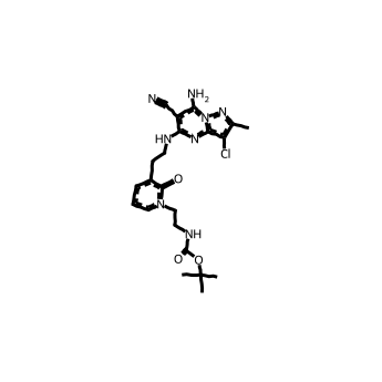 Cc1nn2c(N)c(C#N)c(NCCc3cccn(CCNC(=O)OC(C)(C)C)c3=O)nc2c1Cl